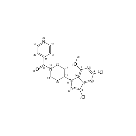 COc1nc(Cl)nc2c(Cl)nn(C3CCN(C(=O)c4ccncc4)CC3)c12